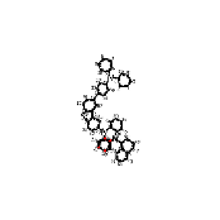 c1ccc(N(c2ccccc2)c2ccc(-c3ccc4sc5ccc(N(c6ccccc6)c6ccccc6N(c6ccccc6)c6cccc7ccccc67)cc5c4c3)cc2)cc1